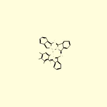 N=C1N=C(/N=C2/c3ccccc3C3=Nc4c5ccccc5cn4B(Oc4c(F)c(F)c(F)c(F)c4F)N32)c2ccccc21